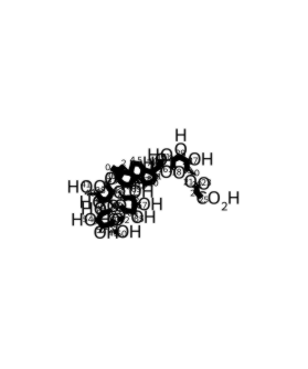 C=C1C[C@@]23CC[C@H]4[C@@](C)(CCC[C@@]4(C)C(=O)O[C@@H]4O[C@H](COC(=O)CC(=O)O)[C@@H](O)[C@H](O)[C@H]4O)[C@@H]2CC[C@@]1(O[C@@H]1O[C@H](CO)[C@@H](O)[C@H](O[C@@H]2O[C@H](CO)[C@@H](O)[C@H](O)[C@H]2O)[C@H]1O[C@@H]1O[C@H](CO)[C@@H](O)[C@H](O)[C@H]1O)C3